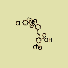 O=C(O)c1cc([N+](=O)[O-])ccc1/C=C/c1cccc(S(=O)(=O)N2CCc3cc(Cl)ccc32)c1